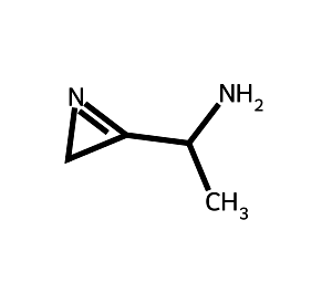 CC(N)C1=NC1